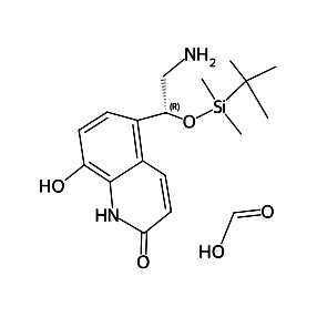 CC(C)(C)[Si](C)(C)O[C@@H](CN)c1ccc(O)c2[nH]c(=O)ccc12.O=CO